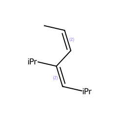 C/C=C\C(=C/C(C)C)C(C)C